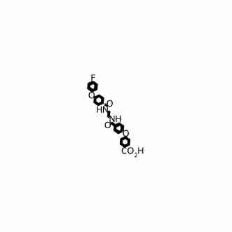 O=C(NCCNC(=O)[C@H]1CC[C@H](Oc2ccc(F)cc2)CC1)c1ccc(O[C@H]2CC[C@@H](C(=O)O)CC2)cc1